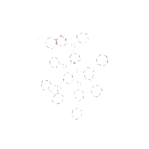 CC(C)(C)c1cc(-c2cccc(N3c4cc(N(c5ccccc5)c5ccccc5)ccc4B4c5cc(-c6ccccc6)cc6c5N(c5ccc(-c7ccccc7)cc5-c5ccccc5-6)c5cc(-n6c7ccccc7c7ccccc76)cc3c54)c2)cc(C(C)(C)C)c1